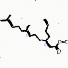 C=CCC/C(=C\C(=O)OCl)CC/C=C(\C)CCC=C(C)C